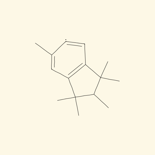 Cc1[c]cc2c(c1)C(C)(C)C(C)C2(C)C